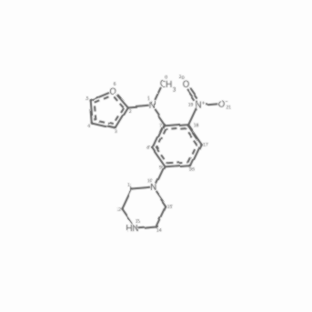 CN(c1ccco1)c1cc(N2CCNCC2)ccc1[N+](=O)[O-]